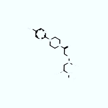 C[C@@H](CN(C)OCC(=O)N1CCN(c2ncc(C#N)cn2)CC1)NC(=O)O